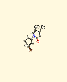 CCOC(=O)c1ccc(=O)n(-c2cccc(Br)c2)c1